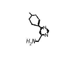 CC1CC=C(c2cc(CN)ncn2)CC1